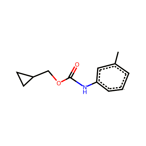 Cc1c[c]cc(NC(=O)OCC2CC2)c1